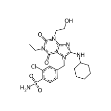 CCn1c(=O)c2c(nc(NC3CCCCC3)n2Cc2ccc(S(N)(=O)=O)c(Cl)c2)n(CCO)c1=O